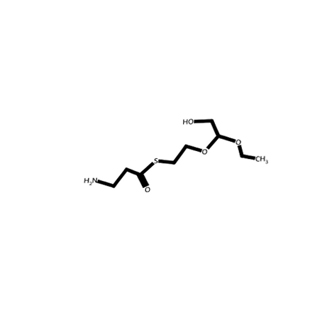 CCOC(CO)OCCSC(=O)CCN